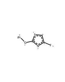 CC(C)Oc1nc(F)cs1